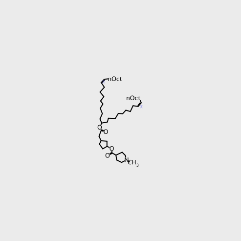 CCCCCCCC/C=C\CCCCCCCCC(CCCCCCCC/C=C\CCCCCCCC)OC(=O)CC1CCC(OC(=O)C2CCN(C)CC2)C1